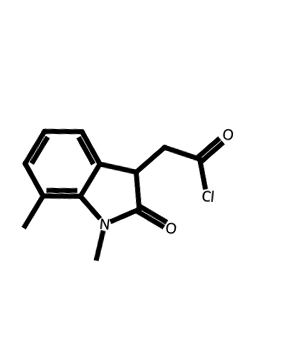 Cc1cccc2c1N(C)C(=O)C2CC(=O)Cl